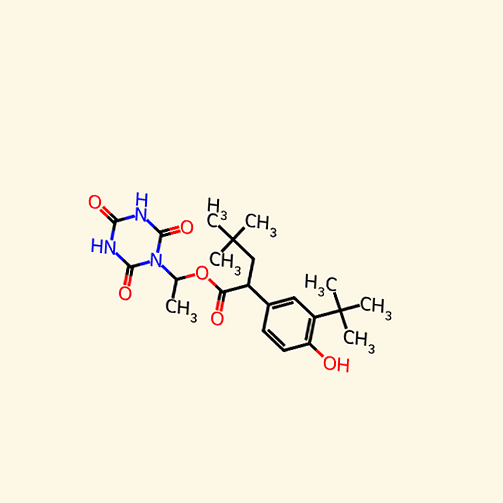 CC(OC(=O)C(CC(C)(C)C)c1ccc(O)c(C(C)(C)C)c1)n1c(=O)[nH]c(=O)[nH]c1=O